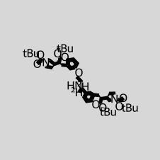 [2H]C([2H])(NCCOc1cccc(C[C@H](C(=O)OC(C)(C)C)[C@H]2CCN(C(=O)OC(C)(C)C)C2)c1)c1cccc(C[C@H](C(=O)OC(C)(C)C)[C@H]2CCN(C(=O)OC(C)(C)C)C2)c1